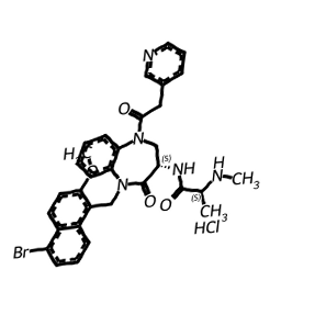 CN[C@@H](C)C(=O)N[C@H]1CN(C(=O)Cc2cccnc2)c2ccccc2N(Cc2c(OC)ccc3c(Br)cccc23)C1=O.Cl